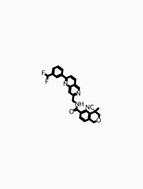 C[C@@]1(C#N)COCc2ccc(C(=O)NCc3cc4nc(-c5cccc(C(F)F)c5)ccc4cn3)cc21